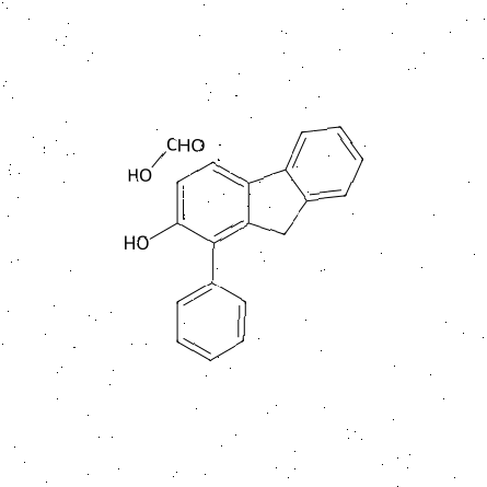 O=CO.Oc1ccc2c(c1-c1ccccc1)Cc1ccccc1-2